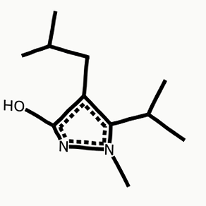 CC(C)Cc1c(O)nn(C)c1C(C)C